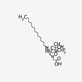 CCCCCCCCCCCCCCCCC[C@H](CC(=O)O)O[Si](C)(C)C(C)(C)C